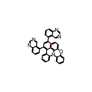 c1ccc2c(c1)Oc1ccccc1N2c1ccccc1-c1ccc(-c2cccc3ncncc23)cc1-c1cccc2ncncc12